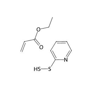 C=CC(=O)OCC.SSc1ccccn1